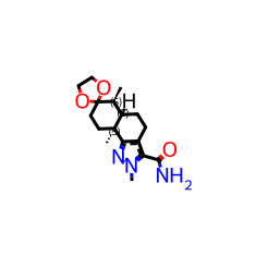 C[C@H]1[C@@H]2CCc3c(nn(C)c3C(N)=O)[C@@]2(C)CCC12OCCO2